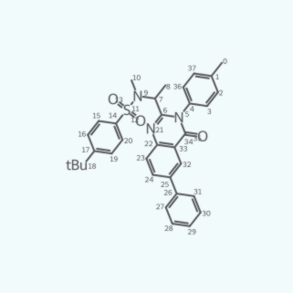 Cc1ccc(-n2c(C(C)N(C)S(=O)(=O)c3ccc(C(C)(C)C)cc3)nc3ccc(-c4ccccc4)cc3c2=O)cc1